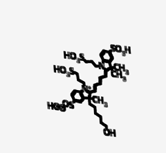 CC1(CCCCCCO)C(/C=C/C=C/C=C2\N(CCCS(=O)(=O)O)c3ccc(S(=O)(=O)O)cc3C2(C)C)=[N+](CCCS(=O)(=O)O)c2ccc(SOOO)cc21